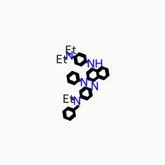 CCN(CC)c1ccc(Nc2cc3c(nc4ccc(N(CC)Cc5ccccc5)cc4[n+]3-c3ccccc3)c3ccccc23)cc1